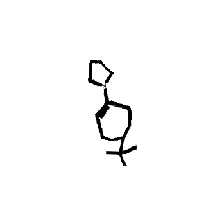 CC(C)(C)C1CC=C(N2CCCC2)CC1